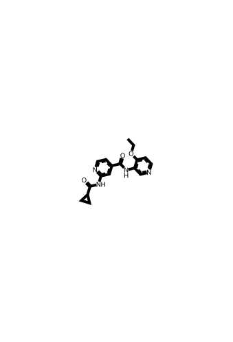 CCOc1ccncc1NC(=O)c1ccnc(NC(=O)C2CC2)c1